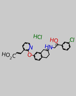 Cl.O=C(O)C=Cc1cccnc1Oc1ccc2c(c1)C[C@@H](NC[C@@H](O)c1cccc(Cl)c1)CC2